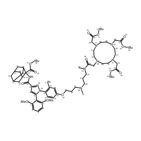 COc1cccc(OC)c1-c1cc(C(=O)NC2(C(=O)OC(C)(C)C)C3CC4CC(C3)CC2C4)nn1-c1ccc(OCCCN(C)CCCN(C)C(=O)CN2CCN(CC(=O)OC(C)(C)C)CCN(CC(=O)OC(C)(C)C)CCN(CC(=O)OC(C)(C)C)CC2)cc1C(C)C